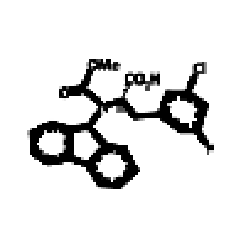 COC(=O)N(C1c2ccccc2-c2ccccc21)[C@@H](Cc1cc(F)cc(Cl)c1)C(=O)O